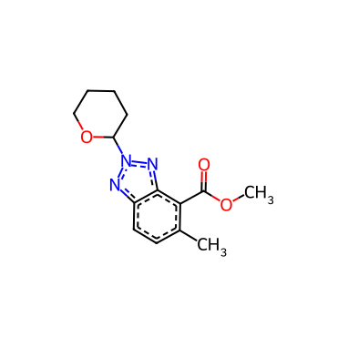 COC(=O)c1c(C)ccc2nn(C3CCCCO3)nc12